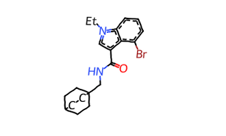 CCn1cc(C(=O)NCC23CCC(CC2)CC3)c2c(Br)cccc21